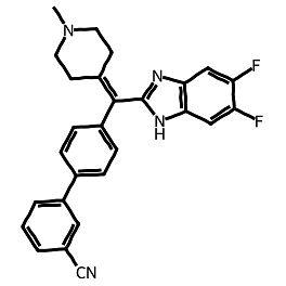 CN1CCC(=C(c2ccc(-c3cccc(C#N)c3)cc2)c2nc3cc(F)c(F)cc3[nH]2)CC1